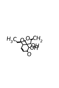 C=C1OC(=O)C2(C(C=CC)C=CC(=O)C2O)C1O